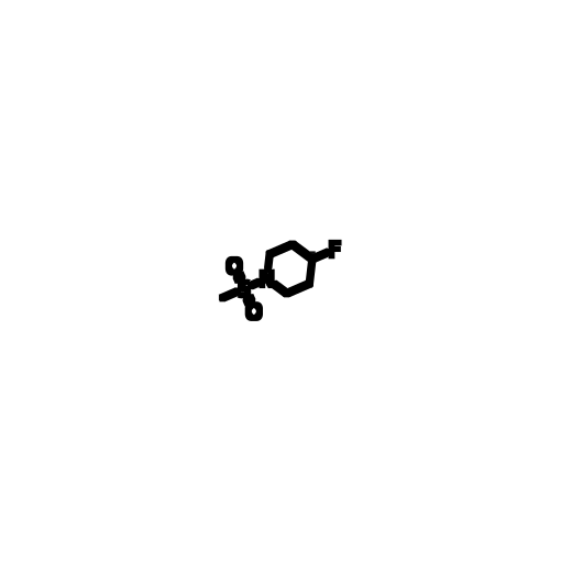 CS(=O)(=O)N1CC[C](F)CC1